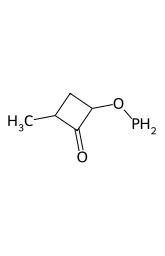 CC1CC(OP)C1=O